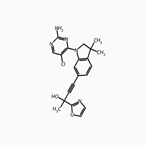 CC(O)(C#Cc1ccc2c(c1)N(c1nc(N)ncc1Cl)CC2(C)C)c1ncco1